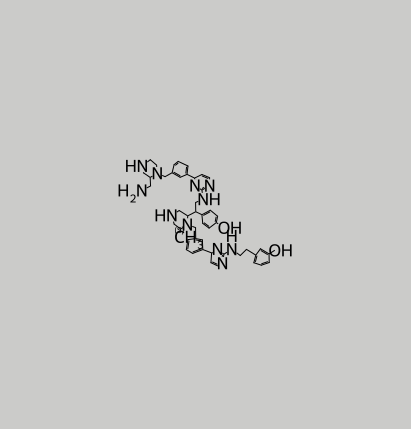 C[C@H]1CNCC(C(CNc2nccc(-c3cccc(CN4CCNCC4CN)c3)n2)c2ccc(O)cc2)N1Cc1cccc(-c2ccnc(NCCc3cccc(O)c3)n2)c1